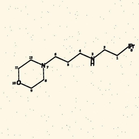 CC(C)CCNCCCN1CCOCC1